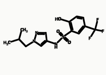 CC(C)Cn1cc(NS(=O)(=O)c2cc(C(F)(F)F)ccc2O)cn1